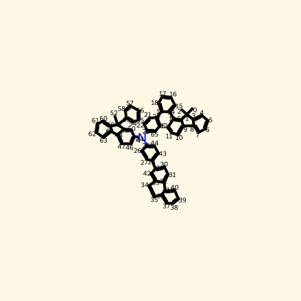 CC1(C)c2ccccc2-c2cccc(-c3ccccc3-c3ccc(N(c4ccc(-c5ccc6c(ccc7ccccc76)c5)cc4)c4ccc5c(c4)C(C)(c4ccccc4)c4ccccc4-5)cc3)c21